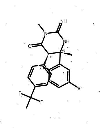 CN1C(=N)N[C@](C)(c2cc(Br)ccc2Cl)[C@@H](c2ccc(C(C)(F)F)cc2)C1=O